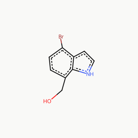 OCc1ccc(Br)c2cc[nH]c12